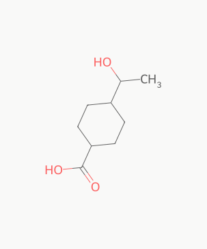 CC(O)C1CCC(C(=O)O)CC1